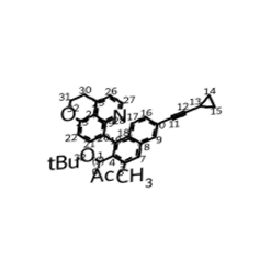 CC(=O)[C@@H](OC(C)(C)C)c1c(C)cc2cc(C#CC3CC3)ccc2c1-c1ccc2c3c(ccnc13)CCO2